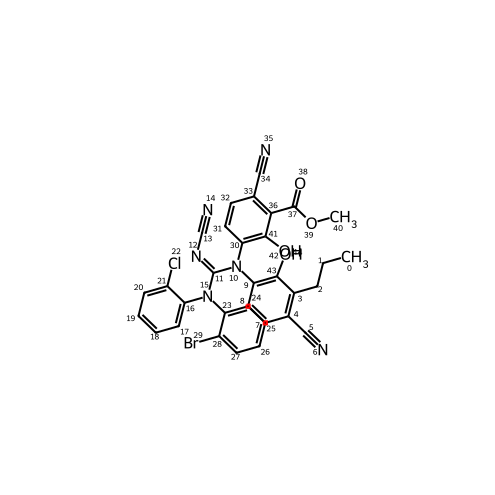 CCCc1c(C#N)ccc(N(C(=NC#N)N(c2ccccc2Cl)c2ccccc2Br)c2ccc(C#N)c(C(=O)OC)c2O)c1O